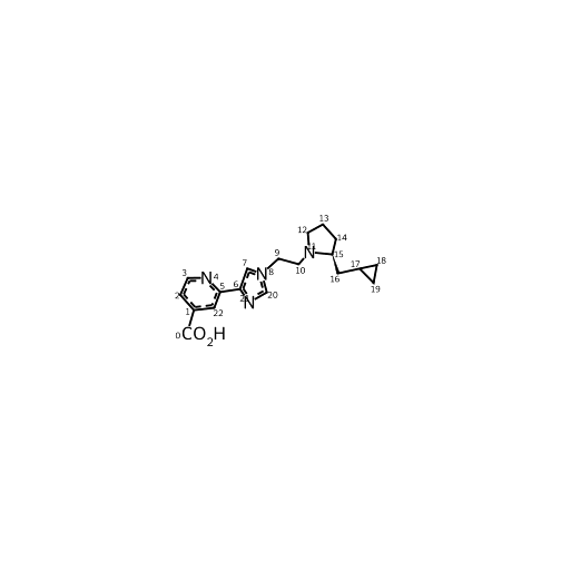 O=C(O)c1ccnc(-c2cn(CCN3CCC[C@H]3CC3CC3)cn2)c1